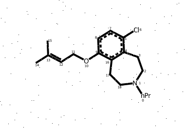 CCCN1CCc2c(Cl)ccc(OCC=C(C)C)c2CC1